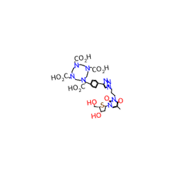 Cc1cn(C2CC(O)[C@@H](CO)S2)c(=O)n(CCCn2cc(-c3ccc(C(C(=O)O)N4CCN(CC(=O)O)CCN(CC(=O)O)CCN(CC(=O)O)CC4)cc3)nn2)c1=O